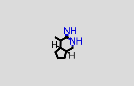 CC1C(=N)NC[C@@H]2CCC[C@H]12